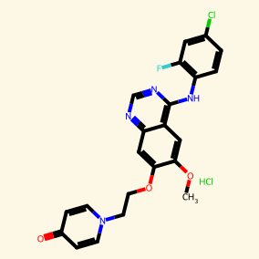 COc1cc2c(Nc3ccc(Cl)cc3F)ncnc2cc1OCCn1ccc(=O)cc1.Cl